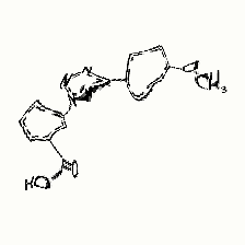 COc1ccc(-c2cn(-c3cccc(C(=O)O)c3)nn2)cc1